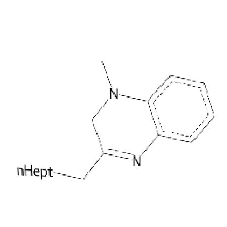 CCCCCCCCC1=Nc2ccccc2N(C)C1